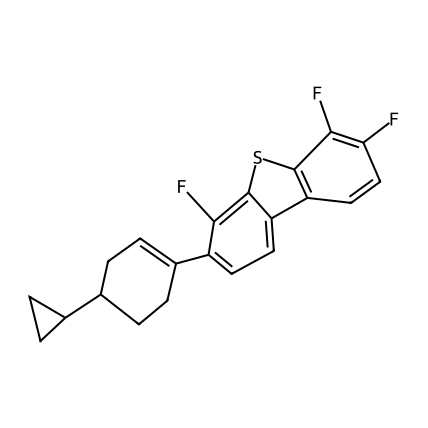 Fc1ccc2c(sc3c(F)c(C4=CCC(C5CC5)CC4)ccc32)c1F